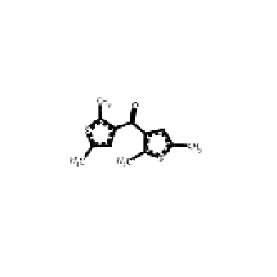 Cc1cc(C(=O)c2cc(C)sc2C)c(C)s1